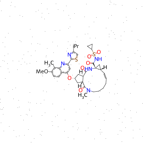 COc1ccc2c(O[C@@H]3C[C@H]4C(=O)N[C@]5(C(=O)NS(=O)(=O)C6CC6)C[C@@H]5/C=C\CCCCN(C)C(=O)[C@@H]4C3)cc(-c3nc(C(C)C)cs3)nc2c1C